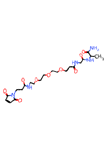 CC(NC(=O)CNC(=O)CCOCCOCCOCCNC(=O)CCN1C(=O)C=CC1=O)C(N)=O